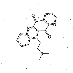 CN(C)CCc1c2c(nc3ccccc13)C(=O)c1cccnc1C2=O